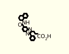 O=C(O)CCCc1nc2cc(C(=O)N[C@@H]3CCCc4ccccc43)ccc2nc1-c1ccccc1